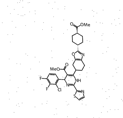 COC(=O)C1=C(C2CCc3nc([C@H]4CC[C@H](C(=O)OC)CC4)oc3C2)NC(c2nccs2)=NC1c1ccc(F)c(F)c1Cl